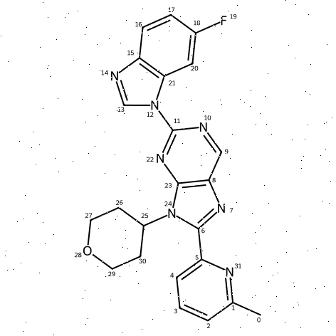 Cc1cccc(-c2nc3cnc(-n4cnc5ccc(F)cc54)nc3n2C2CCOCC2)n1